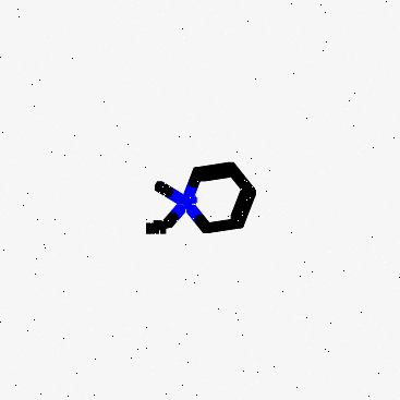 CCC[N+]1(C)C=CC=CC1